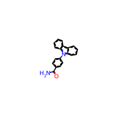 NC(=O)c1ccc(-n2c3ccccc3c3ccccc32)cc1